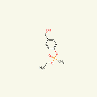 CCOP(C)(=O)Oc1ccc(CO)cc1